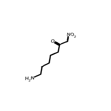 NCCCCCC(=O)C[N+](=O)[O-]